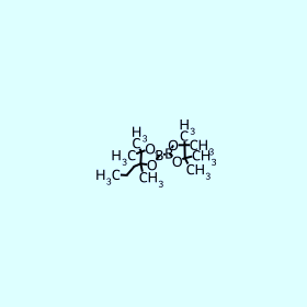 CCCC1(C)OB(B2OC(C)(C)C(C)(C)O2)OC1(C)C